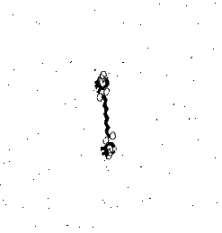 CC1C(OC(=O)CCCCCCCCC(=O)OC2CC[N+](C)([O-])C(C)(C)C2C)CC[N+](C)([O-])C1(C)C